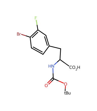 CC(C)(C)OC(=O)NC(Cc1ccc(Br)c(F)c1)C(=O)O